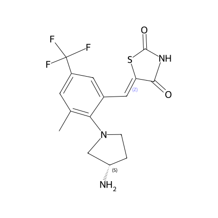 Cc1cc(C(F)(F)F)cc(/C=C2\SC(=O)NC2=O)c1N1CC[C@H](N)C1